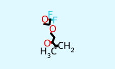 C=C(C)C(=O)CCOC1COC1(F)F